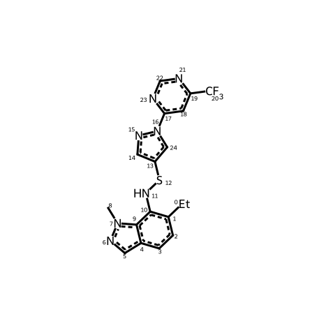 CCc1ccc2cnn(C)c2c1NSc1cnn(-c2cc(C(F)(F)F)ncn2)c1